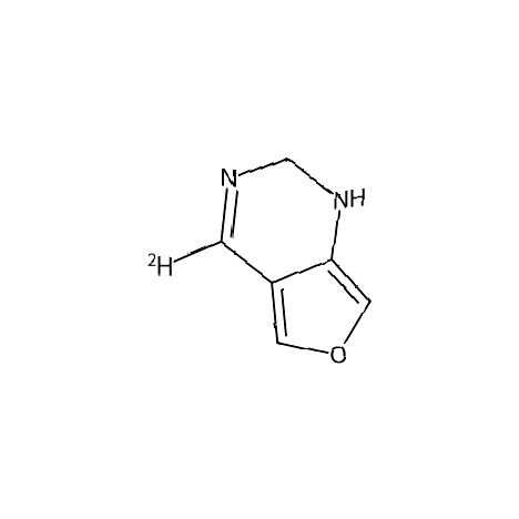 [2H]C1=NCNc2cocc21